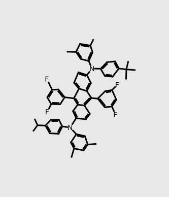 Cc1cc(C)cc(N(c2ccc(C(C)C)cc2)c2ccc3c(-c4cc(F)cc(F)c4)c4cc(N(c5ccc(C(C)(C)C)cc5)c5cc(C)cc(C)c5)ccc4c(-c4cc(F)cc(F)c4)c3c2)c1